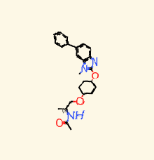 CC(=O)N[C@@H](C)CO[C@H]1CC[C@H](Oc2nc3ccc(-c4ccccc4)cc3n2C)CC1